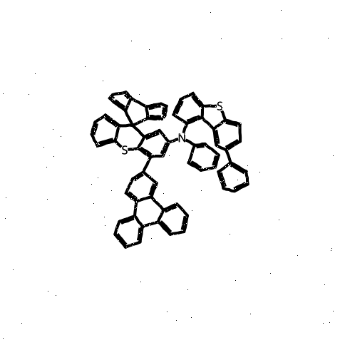 c1ccc(-c2ccc3sc4cccc(N(c5ccccc5)c5cc(-c6ccc7c8ccccc8c8ccccc8c7c6)c6c(c5)C5(c7ccccc7S6)c6ccccc6-c6ccccc65)c4c3c2)cc1